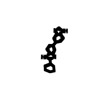 C1=C(c2nc3cc(-c4ccc5[nH]cnc5c4)ccc3[nH]2)CCCC1